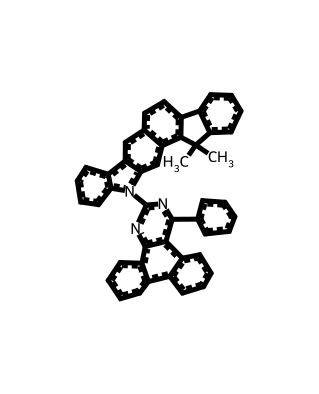 CC1(C)c2ccccc2-c2ccc3cc4c5ccccc5n(-c5nc(-c6ccccc6)c6c7ccccc7c7ccccc7c6n5)c4cc3c21